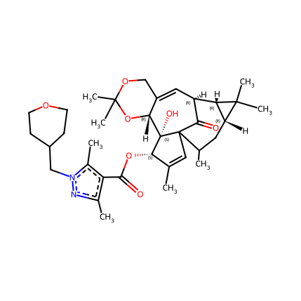 CC1=CC23C(=O)[C@@H](C=C4COC(C)(C)O[C@H]4[C@]2(O)[C@H]1OC(=O)c1c(C)nn(CC2CCOCC2)c1C)[C@H]1[C@@H](CC3C)C1(C)C